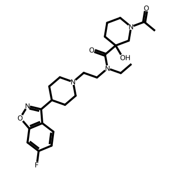 CCN(CCN1CCC(c2noc3cc(F)ccc23)CC1)C(=O)C1(O)CCCN(C(C)=O)C1